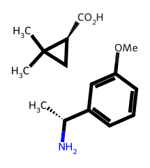 CC1(C)C[C@@H]1C(=O)O.COc1cccc([C@@H](C)N)c1